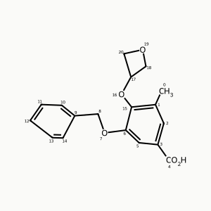 Cc1cc(C(=O)O)cc(OCc2ccccc2)c1OC1COC1